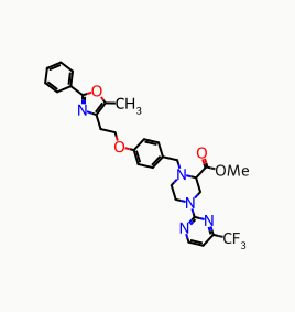 COC(=O)C1CN(c2nccc(C(F)(F)F)n2)CCN1Cc1ccc(OCCc2nc(-c3ccccc3)oc2C)cc1